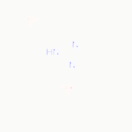 c1ccc(C2=NC(c3c(-c4ccccc4)ccc4oc5ccccc5c34)NC(c3cccc4c3oc3ccccc34)=N2)cc1